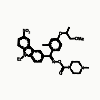 CCn1c2ccc(/C(=N/OC(=O)N3CCN(C)CC3)c3ccc(OC(C)COC)cc3C)cc2c2cc([N+](=O)[O-])ccc21